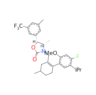 COc1cc(F)c(C(C)C)cc1C1=C(CN2C(=O)O[C@H](c3cc(C)cc(C(F)(F)F)c3)[C@@H]2C)CC(C)CC1